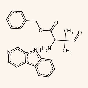 CC(C)(C=O)C(N)C(=O)OCc1ccccc1.c1ccc2c(c1)[nH]c1cnccc12